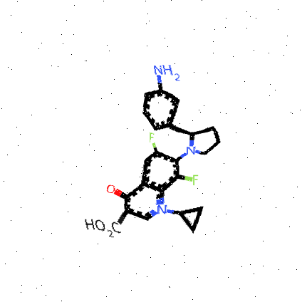 Nc1cccc(C2CCCN2c2c(F)cc3c(=O)c(C(=O)O)cn(C4CC4)c3c2F)c1